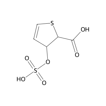 O=C(O)C1SC=CC1OS(=O)(=O)O